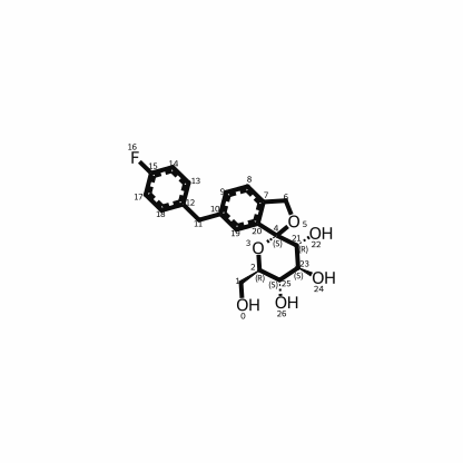 OC[C@H]1O[C@]2(OCc3ccc(Cc4ccc(F)cc4)cc32)[C@H](O)[C@@H](O)[C@@H]1O